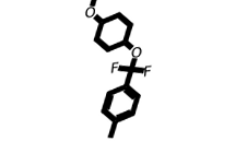 COC1CCC(OC(F)(F)c2ccc(C)cc2)CC1